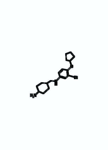 CCc1cc(NCC2CCC(N)CC2)ccc1OC1CCCC1